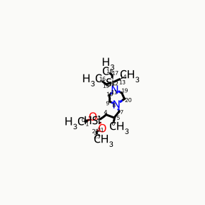 CCO[SiH](CC(C)CN1CCN([Si](CC)(CC)CC)CC1)OCC